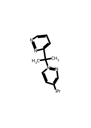 CC(C)c1cc[n+](C(C)(C)c2cccnn2)nc1